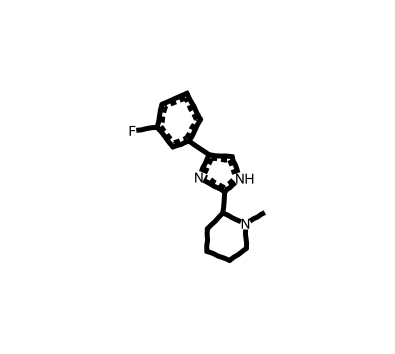 CN1CCCCC1c1nc(-c2cccc(F)c2)c[nH]1